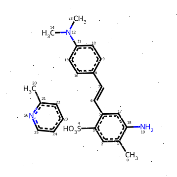 Cc1cc(S(=O)(=O)O)c(C=Cc2ccc(N(C)C)cc2)cc1N.Cc1ccccn1